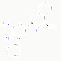 C[C@@H](NC(=O)c1cn2c(nc3ccccc32)c(N)n1)c1ccccn1